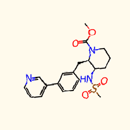 COC(=O)N1CCC[C@@H](NS(C)(=O)=O)[C@H]1Cc1cccc(-c2cccnc2)c1